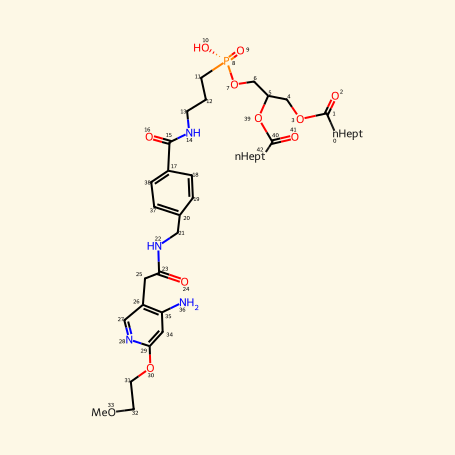 CCCCCCCC(=O)OCC(CO[P@@](=O)(O)CCCNC(=O)c1ccc(CNC(=O)Cc2cnc(OCCOC)cc2N)cc1)OC(=O)CCCCCCC